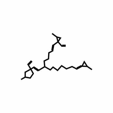 C=CC1(C=CC(CCCC=CC2(C=C)CC2C)CCCCCCC=C2CC2C)CCC(C)C1